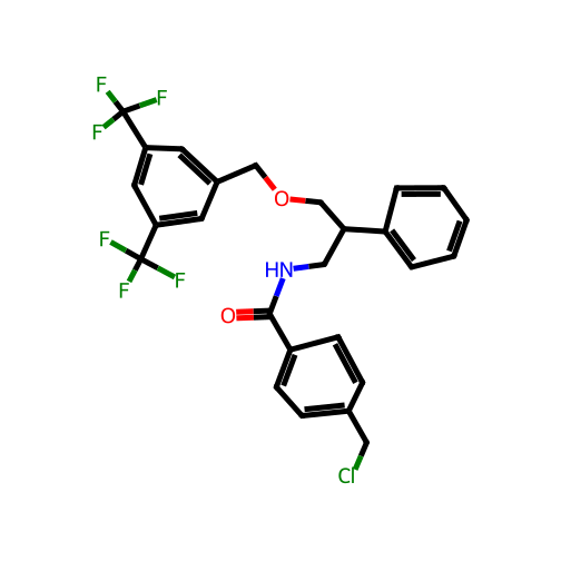 O=C(NCC(COCc1cc(C(F)(F)F)cc(C(F)(F)F)c1)c1ccccc1)c1ccc(CCl)cc1